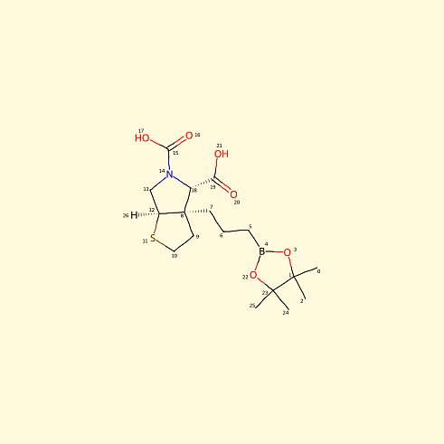 CC1(C)OB(CCC[C@]23CCS[C@H]2CN(C(=O)O)[C@@H]3C(=O)O)OC1(C)C